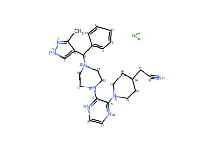 Cc1n[nH]cc1C(c1ccccc1)N1CCN(c2nccnc2N2CCC(CC#N)CC2)CC1.Cl